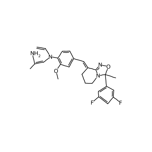 C=CN(/C=C(/C)N)c1ccc(/C=C2\CCCN3C2=NOC3(C)c2cc(F)cc(F)c2)cc1OC